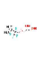 CC(C)C(F)(COCC(O)CO)C(F)(F)F